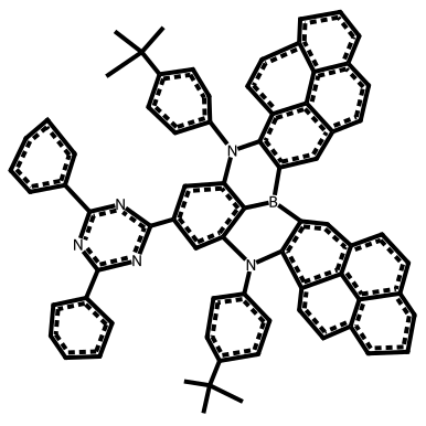 CC(C)(C)c1ccc(N2c3cc(-c4nc(-c5ccccc5)nc(-c5ccccc5)n4)cc4c3B(c3cc5ccc6cccc7ccc(c32)c5c67)c2cc3ccc5cccc6ccc(c2N4c2ccc(C(C)(C)C)cc2)c3c56)cc1